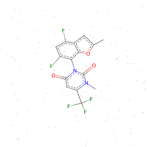 Cc1cc2c(F)cc(F)c(-n3c(=O)cc(C(F)(F)F)n(C)c3=O)c2o1